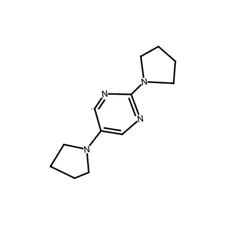 [c]1nc(N2CCCC2)ncc1N1CCCC1